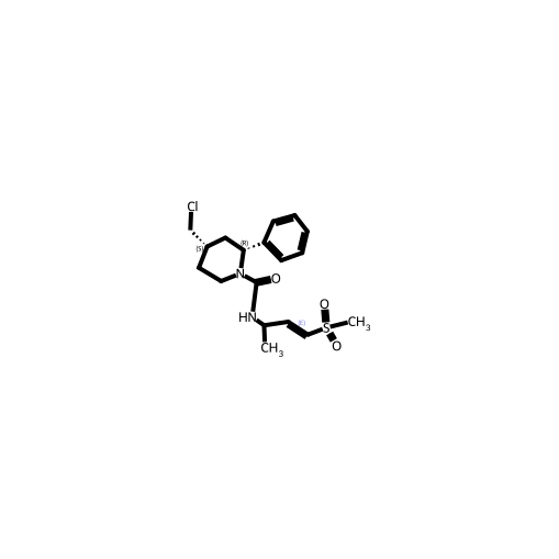 CC(/C=C/S(C)(=O)=O)NC(=O)N1CC[C@H](CCl)C[C@@H]1c1ccccc1